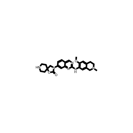 COc1cc2c(cc1Nc1ncc3ccc(N4CC5(CCNCC5)OC4=O)cc3n1)CN(C)CC2